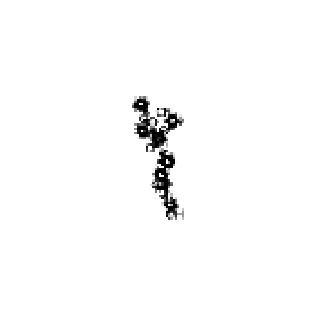 Cc1c(COc2cc(OCc3cncc(C#N)c3)c(CN3CCCC[C@H]3C(=O)OCc3ccccc3)cc2Cl)cccc1-c1ccc2c(c1)OC(CCN1CC[C@@H](O)C1)CO2